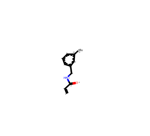 C=CC(=O)NCc1cccc(C(C)(C)C)c1